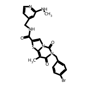 CNc1cc(CNC(=O)c2cn3c(=O)n(Cc4ccc(Br)cc4)c(=O)c(C)c3s2)ccn1